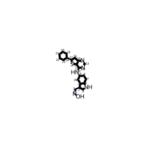 O/N=C\c1c[nH]c2ccc(Nc3ncnc4cc(-c5ccccc5)sc34)cc12